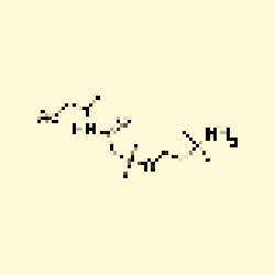 CC(=O)CC(C)NC(=O)CC(C)(C)OCCC(C)(C)N